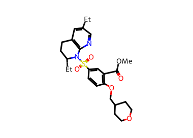 CCc1cnc2c(c1)CCC(CC)N2S(=O)(=O)c1ccc(OCC2CCOCC2)c(C(=O)OC)c1